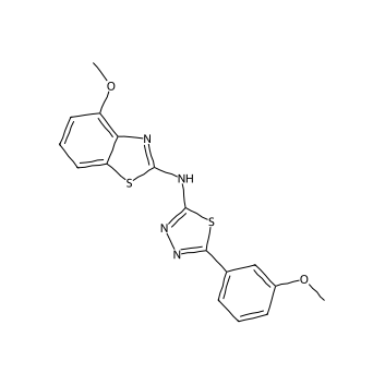 COc1cccc(-c2nnc(Nc3nc4c(OC)cccc4s3)s2)c1